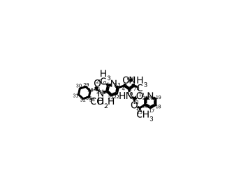 Cc1nc(-c2onc(C)c2NC(=O)O[C@H](C)c2cccnc2)ccc1NC(=O)[C@H]1CCCC[C@H]1C(=O)O